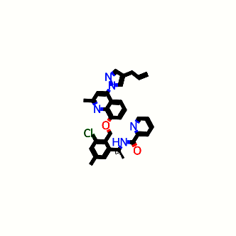 C=CCc1cnn(-c2cc(C)nc3c(OCc4c(Cl)cc(C)cc4[C@H](C)NC(=O)c4ccccn4)cccc23)c1